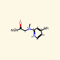 CNC(=O)CN(C)c1cc(C(C)C)ccn1